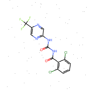 O=C(NC(=O)c1c(Cl)cccc1Cl)Nc1cnc(C(F)(F)F)cn1